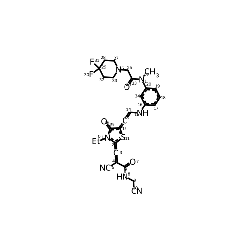 CCn1c(=C=C(C#N)C(=O)NCC#N)sc(=C=CNc2cccc(N(C)C(=O)CN3CCC(F)(F)CC3)c2)c1=O